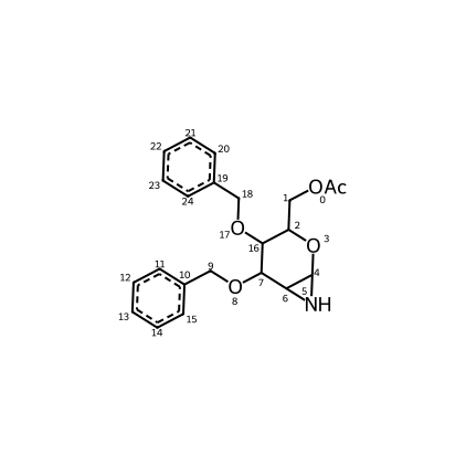 CC(=O)OCC1OC2NC2C(OCc2ccccc2)C1OCc1ccccc1